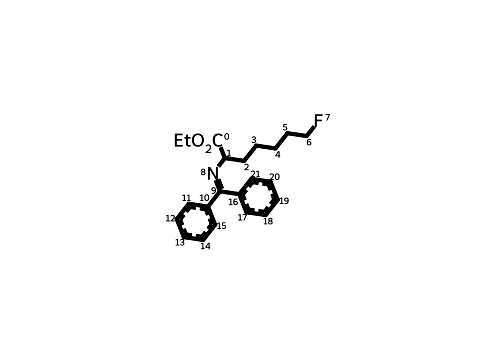 CCOC(=O)C(CCCCCF)N=C(c1ccccc1)c1ccccc1